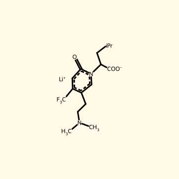 CC(C)CC(C(=O)[O-])n1cc(CCN(C)C)c(C(F)(F)F)cc1=O.[Li+]